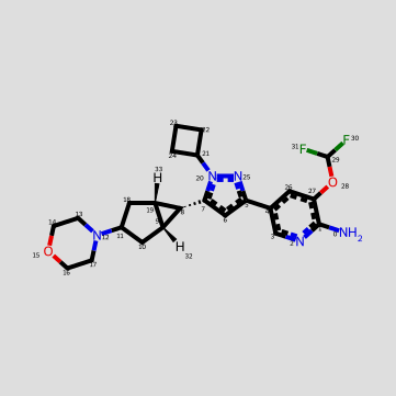 Nc1ncc(-c2cc([C@@H]3[C@@H]4CC(N5CCOCC5)C[C@@H]43)n(C3CCC3)n2)cc1OC(F)F